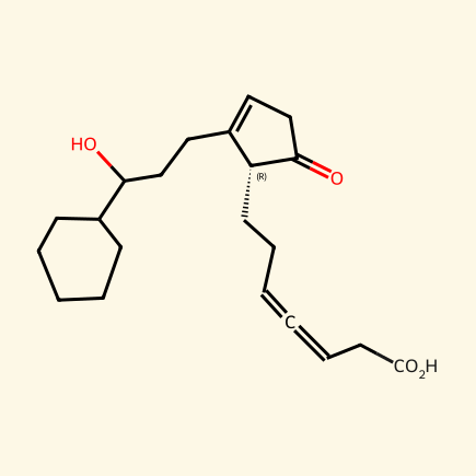 O=C(O)CC=C=CCC[C@H]1C(=O)CC=C1CCC(O)C1CCCCC1